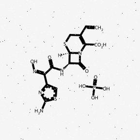 C=CC1=C(C(=O)O)N2C(=O)[C@@H](NC(=O)/C(=N\O)c3csc(N)n3)[C@H]2SC1.O=P(O)(O)O